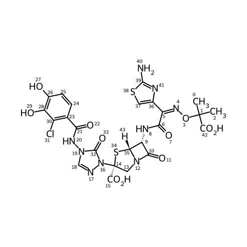 CC(C)(O/N=C(\C(=O)N[C@@H]1C(=O)N2C[C@@](C(=O)O)(n3ncn(NC(=O)c4ccc(O)c(O)c4Cl)c3=O)S[C@H]12)c1csc(N)n1)C(=O)O